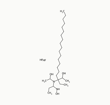 CCCCCCCCCCCCCCCCCC(CC)(C(C)O)N(C(C)O)C(CC)NO.F.F